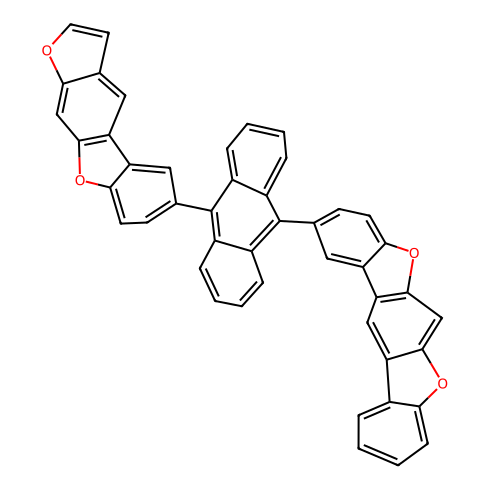 c1ccc2c(c1)oc1cc3oc4ccc(-c5c6ccccc6c(-c6ccc7oc8cc9occc9cc8c7c6)c6ccccc56)cc4c3cc12